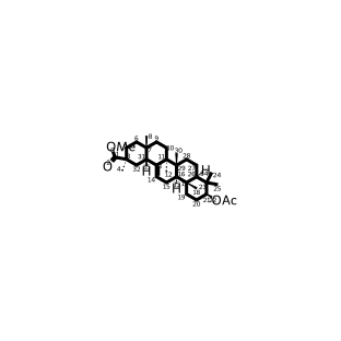 COC(=O)[C@@]1(C)CC[C@]2(C)CC[C@]3(C)C(=CC[C@@H]4[C@@]5(C)CC[C@H](OC(C)=O)C(C)(C)[C@@H]5CC[C@]43C)[C@@H]2C1